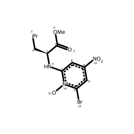 COC(=O)[C@H](CC(C)C)Nc1cc([N+](=O)[O-])cc(Br)[n+]1[O-]